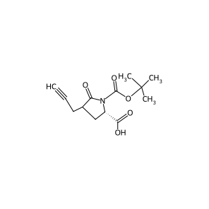 C#CCC1C[C@@H](C(=O)O)N(C(=O)OC(C)(C)C)C1=O